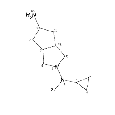 CN(C1CC1)N1CC2CC(N)CC2C1